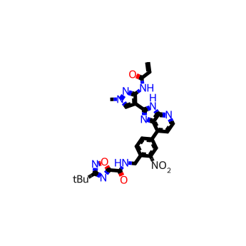 C=CC(=O)Nc1nn(C)cc1-c1nc2c(-c3ccc(CNC(=O)c4nc(C(C)(C)C)no4)c([N+](=O)[O-])c3)ccnc2[nH]1